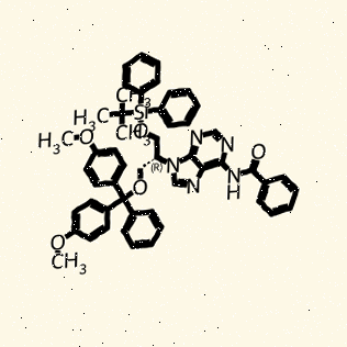 COc1ccc(C(OC[C@H](CO[Si](c2ccccc2)(c2ccccc2)C(C)(C)C)n2cnc3c(NC(=O)c4ccccc4)ncnc32)(c2ccccc2)c2ccc(OC)cc2)cc1